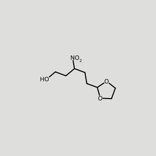 O=[N+]([O-])C(CCO)CCC1OCCO1